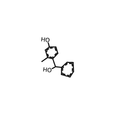 Cc1cc(O)ccc1C(O)c1ccccc1